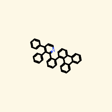 c1ccc(-c2ccnc(-c3ccccc3-c3cccc4c5ccccc5c5ccccc5c34)c2-c2ccccc2)cc1